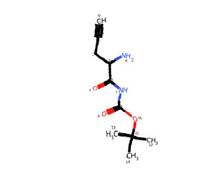 C#CCC(N)C(=O)NC(=O)OC(C)(C)C